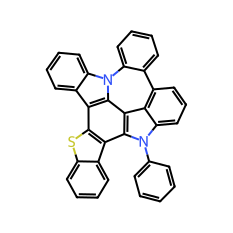 c1ccc(-n2c3cccc4c5ccccc5n5c6ccccc6c6c7sc8ccccc8c7c2c(c43)c65)cc1